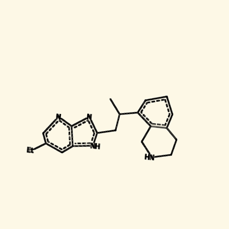 CCc1cnc2nc(CC(C)c3cccc4c3CNCC4)[nH]c2c1